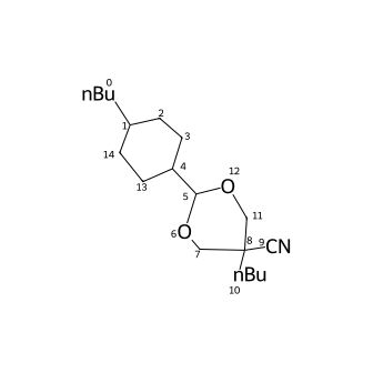 CCCCC1CCC(C2OCC(C#N)(CCCC)CO2)CC1